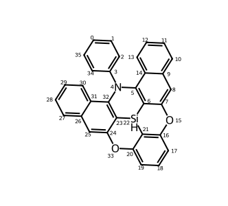 c1ccc(N2c3c4c(cc5ccccc35)Oc3cccc5c3[SiH]4c3c(cc4ccccc4c32)O5)cc1